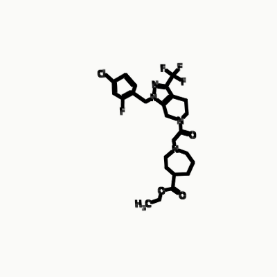 CCOC(=O)C1CCCN(CC(=O)N2CCc3c(C(F)(F)F)nn(Cc4ccc(Cl)cc4F)c3C2)CC1